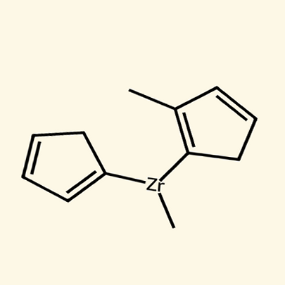 CC1=[C]([Zr]([CH3])[C]2=CC=CC2)CC=C1